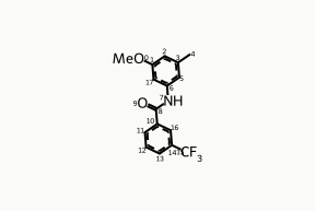 COc1cc(C)cc(NC(=O)c2cccc(C(F)(F)F)c2)c1